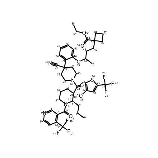 CCC[C@H]1N(C(=O)c2cnccc2C(F)(F)F)CCC[C@@]1(Oc1csc(C(F)(F)F)c1)C(=O)N1CCC(C#N)(c2ccccc2OC(C)CCC2(C(=O)OCC)CCC2)CC1